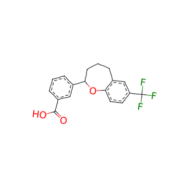 O=C(O)c1cccc(C2CCCc3cc(C(F)(F)F)ccc3O2)c1